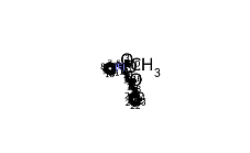 COC(=O)/C(=C/c1ccccc1)CCCC(=O)CCc1ccccc1